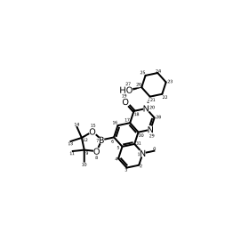 CN1CC=Cc2c(B3OC(C)(C)C(C)(C)O3)cc3c(=O)n([C@H]4CCCC[C@@H]4O)cnc3c21